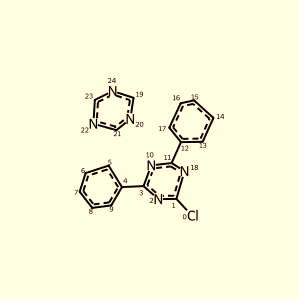 Clc1nc(-c2ccccc2)nc(-c2ccccc2)n1.c1ncncn1